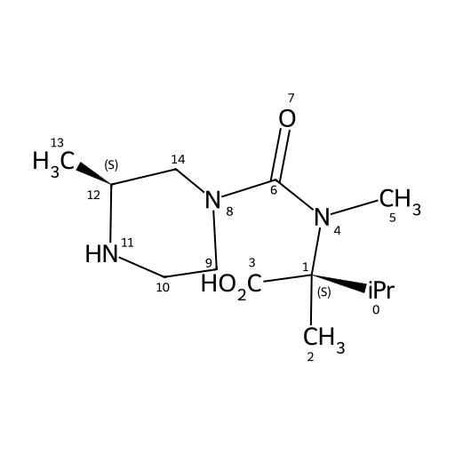 CC(C)[C@@](C)(C(=O)O)N(C)C(=O)N1CCN[C@@H](C)C1